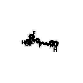 O=C(O)[C@H](c1cc(F)ccc1C1CCOCC1)N1CC[C@@H]([C@H](F)CCCCc2ccc3c(n2)NCCC3)C1